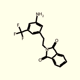 Nc1cc(CCN2C(=O)c3ccccc3C2=O)cc(C(F)(F)F)c1